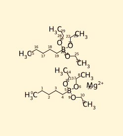 CCCCC[B-](OCC)(OCC)OCC.CCCCC[B-](OCC)(OCC)OCC.[Mg+2]